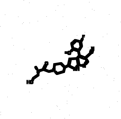 COc1ccc(F)cc1-c1c(C#N)cnc2[nH]c(C3CCN(CC(=O)N(C)CCO)CC3)cc12